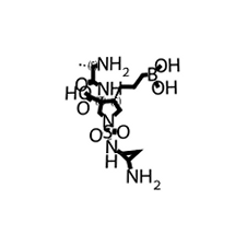 C[C@H](N)C(=O)N[C@@]1(C(=O)O)CN(S(=O)(=O)NC2CC2N)C[C@@H]1CCCB(O)O